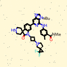 CC[C@H](C)n1cnc2cc(-c3ccc4c(c3)N(C3CC(N5CC[C@@]6(C5)CC6(F)F)C3)C(=O)C43CCNCC3)nc(Nc3ccc(C)c(C(=O)NC)c3)c21